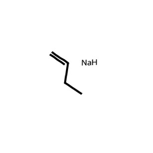 C=CCC.[NaH]